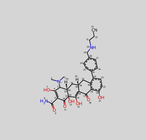 CN(C)C1C(O)=C(C(N)=O)C(=O)[C@@]2(O)C(O)=C3C(=O)c4c(O)ccc(-c5ccc(CNCCC#N)cc5)c4C[C@H]3C[C@@H]12